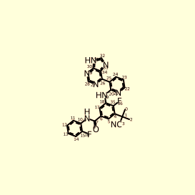 CC(C)(C#N)c1cc(C(=O)Nc2ccccc2F)cc(Nc2ncccc2-c2ncnc3[nH]cnc23)c1F